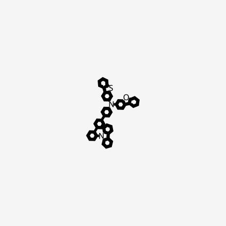 c1ccc(-n2c3ccccc3c3ccccc32)c(-c2ccc(-c3ccc(N(c4ccc5c(c4)oc4ccccc45)c4ccc5c(c4)sc4ccccc45)cc3)cc2)c1